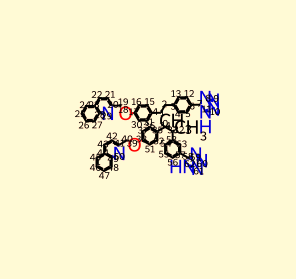 CC(Cc1ccc(-c2nnn[nH]2)cc1)c1ccc(OCc2ccc3ccccc3n2)cc1.CC(Cc1ccc(OCc2ccc3ccccc3n2)cc1)c1cccc(-c2nnn[nH]2)c1